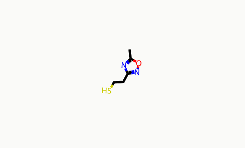 Cc1nc(CCS)no1